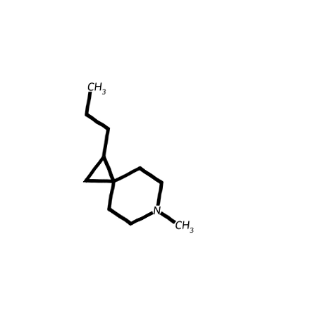 CCCC1CC12CCN(C)CC2